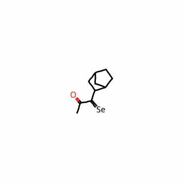 CC(=O)C(=[Se])C1CC2CCC1C2